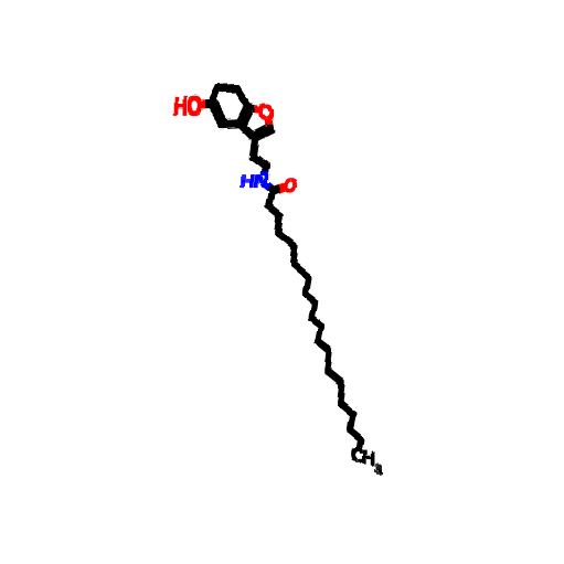 CCCCCCCCCCCCCCCCCCCC(=O)NCCc1coc2ccc(O)cc12